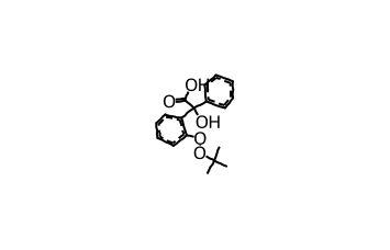 CC(C)(C)OOc1ccccc1C(O)(C(=O)O)c1ccccc1